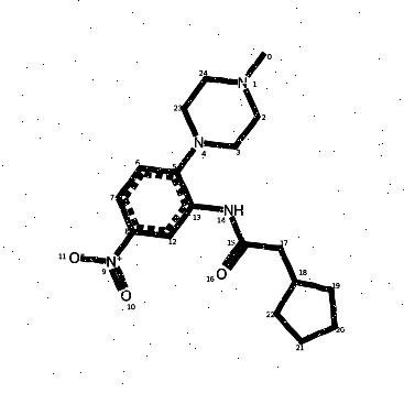 CN1CCN(c2ccc([N+](=O)[O-])cc2NC(=O)CC2CCCC2)CC1